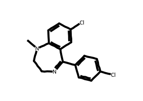 CN1CCN=C(c2ccc(Cl)cc2)c2cc(Cl)ccc21